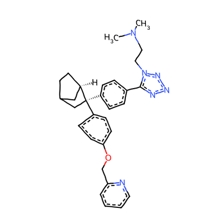 CN(C)CCn1nnnc1-c1ccc([C@]2(c3ccc(OCc4ccccn4)cc3)CC3CC[C@@H]2C3)cc1